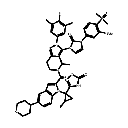 CNc1cc(-n2ccn(-c3c4c(nn3-c3cc(C)c(F)c(C)c3)CCN(C(=O)c3cc5cc(C6CCOCC6)ccc5n3C3(c5noc(=O)[nH]5)CC3C)C4C)c2=O)ccc1P(C)(C)=O